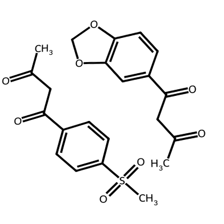 CC(=O)CC(=O)c1ccc(S(C)(=O)=O)cc1.CC(=O)CC(=O)c1ccc2c(c1)OCO2